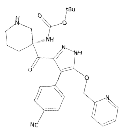 CC(C)(C)OC(=O)N[C@]1(C(=O)c2n[nH]c(OCc3ccccn3)c2-c2ccc(C#N)cc2)CCCNC1